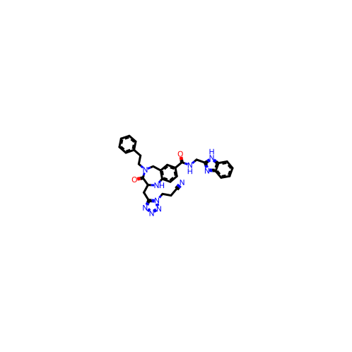 N#CCCn1nnnc1CC1Nc2ccc(C(=O)NCc3nc4ccccc4[nH]3)cc2CN(CCc2ccccc2)C1=O